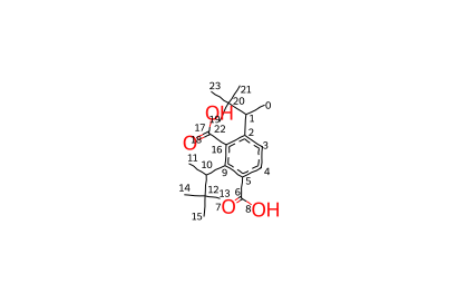 CC(c1ccc(C(=O)O)c(C(C)C(C)(C)C)c1C(=O)O)C(C)(C)C